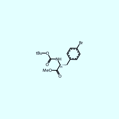 COC(=O)[C@@H](Cc1ccc(Br)cc1)NC(=O)OC(C)(C)C